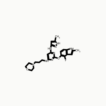 Cc1cc(Nc2cc(NCCCN3CCOCC3)nc(Oc3ccc4[nH]c(C)cc4c3F)n2)n[nH]1